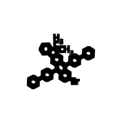 CC1(C)c2ccccc2-c2cc3c(-c4ccc(-c5ccccc5)cc4)c4ccc(Br)cc4c(-c4ccc(-c5ccccc5)cc4)c3cc21